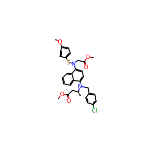 COC(=O)C[C@H](C)N(Cc1ccc(Cl)cc1)c1ccc(N(CC(=O)OC)Sc2ccc(OC)cc2)c2ccccc12